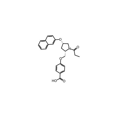 CCC(=O)N1C[C@@H](Oc2ccc3ccccc3c2)C[C@H]1COc1ccc(C(=O)O)cc1